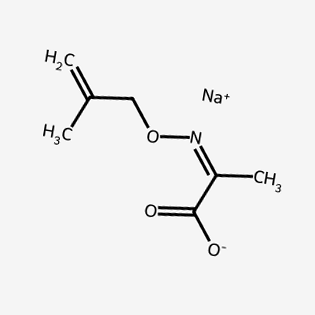 C=C(C)CON=C(C)C(=O)[O-].[Na+]